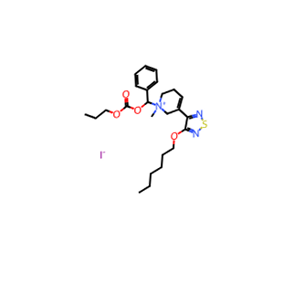 CCCCCCOc1nsnc1C1=CCC[N+](C)(C(OC(=O)OCCC)c2ccccc2)C1.[I-]